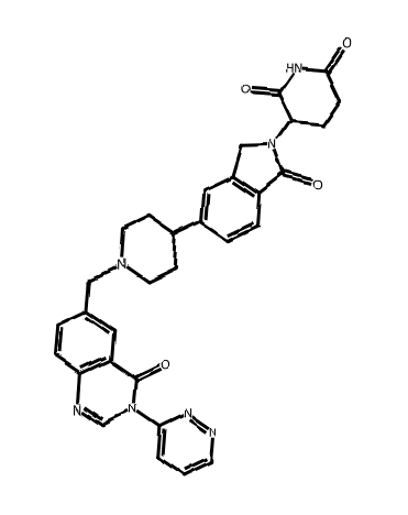 O=C1CCC(N2Cc3cc(C4CCN(Cc5ccc6ncn(-c7cccnn7)c(=O)c6c5)CC4)ccc3C2=O)C(=O)N1